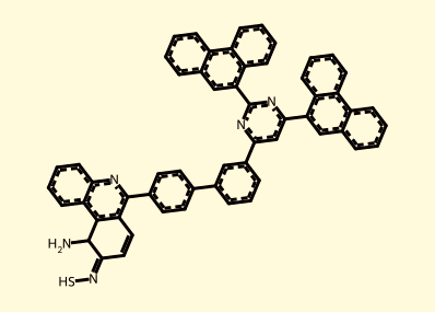 NC1/C(=N\S)C=Cc2c(-c3ccc(-c4cccc(-c5cc(-c6cc7ccccc7c7ccccc67)nc(-c6cc7ccccc7c7ccccc67)n5)c4)cc3)nc3ccccc3c21